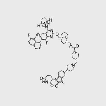 C#Cc1c(F)ccc2cccc(-c3ncc4c(N5C[C@H]6CC[C@@H](C5)N6)nc(OC[C@]56CCCN5[C@H](COC(=O)N5CCC(CN7CCC(c8ccc9c(c8)n(C)c(=O)n9C8CCC(=O)NC8=O)CC7)CC5)CC6)nc4c3F)c12